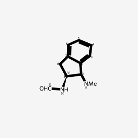 CNC1c2ccccc2C[C@@H]1NC=O